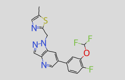 Cc1cnc(Cn2ncc3ncc(-c4ccc(F)c(OC(F)F)c4)cc32)s1